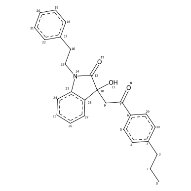 CCCc1ccc(C(=O)CC2(O)C(=O)N(CCc3ccccc3)c3ccccc32)cc1